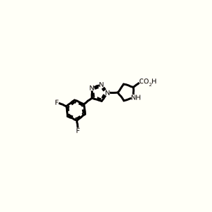 O=C(O)C1CC(n2cc(-c3cc(F)cc(F)c3)nn2)CN1